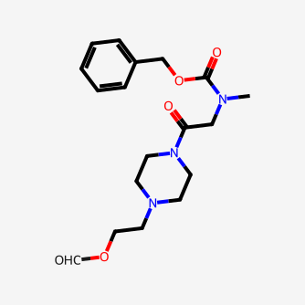 CN(CC(=O)N1CCN(CCOC=O)CC1)C(=O)OCc1ccccc1